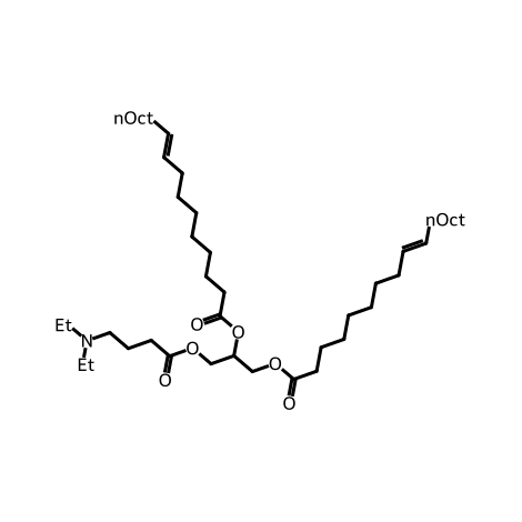 CCCCCCCCC=CCCCCCCCC(=O)OCC(COC(=O)CCCN(CC)CC)OC(=O)CCCCCCCC=CCCCCCCCC